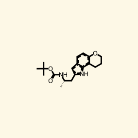 C[C@@H](Cc1cc2ccc3c(c2[nH]1)CCCO3)NC(=O)OC(C)(C)C